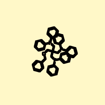 c1ccc(COCC(CP(c2ccccc2)c2ccccc2)(CP(c2ccccc2)c2ccccc2)CP(c2ccccc2)c2ccccc2)cc1